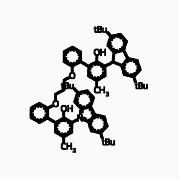 Cc1cc(-c2ccccc2OCCCOc2ccccc2-c2cc(C)cc(-n3c4cc(C(C)(C)C)ccc4c4ccc(C(C)(C)C)cc43)c2O)c(O)c(C2c3cc(C(C)(C)C)ccc3-c3ccc(C(C)(C)C)cc32)c1